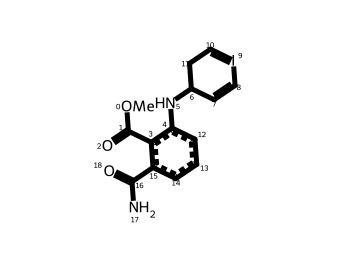 COC(=O)c1c(NC2C=CI=CC2)cccc1C(N)=O